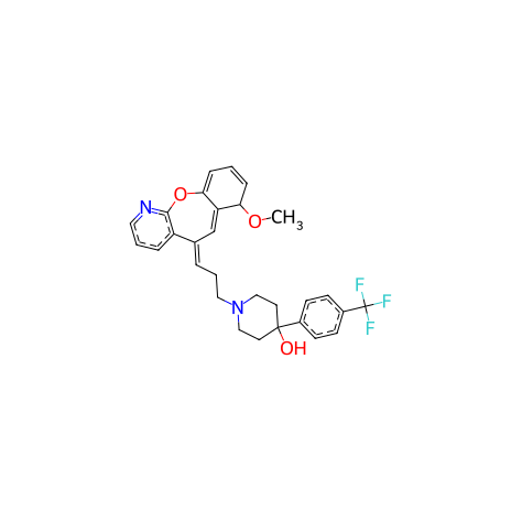 COC1C=CC=C2Oc3ncccc3C(=CCCN3CCC(O)(c4ccc(C(F)(F)F)cc4)CC3)C=C21